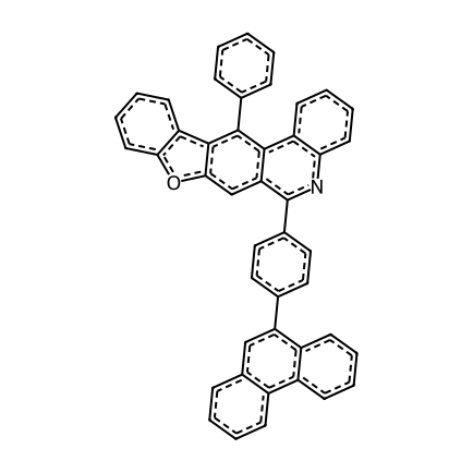 c1ccc(-c2c3c(cc4c(-c5ccc(-c6cc7ccccc7c7ccccc67)cc5)nc5ccccc5c24)oc2ccccc23)cc1